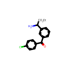 CCOC(=O)C(N)c1cccc(C(=O)c2ccc(Cl)cc2)c1